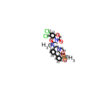 CN(C(=O)CN1C(=O)COc2cc(Cl)c(Cl)cc21)C(CN1CCOCC1)c1cccc(-c2cccc(S(C)(=O)=O)c2)c1